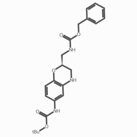 CC(C)(C)OC(=O)Nc1ccc2c(c1)NC[C@H](CNC(=O)OCc1ccccc1)O2